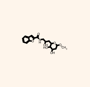 COC1CC(O)C(O)C(CC(O)CNC(=O)c2cc3ccccc3o2)O1